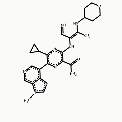 C/C(NC1CCOCC1)=C(/C=N)Nc1nc(C2CC2)c(-c2cncc3c2ncn3C)nc1C(N)=O